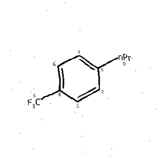 CC[CH]c1ccc(C(F)(F)F)cc1